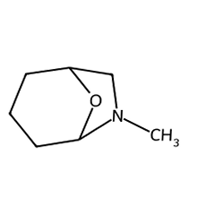 CN1CC2CCCC1O2